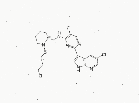 Fc1cnc(-c2c[nH]c3ncc(Cl)cc23)nc1NC[C@H]1CCCCN1SCCCCl